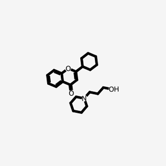 O=c1cc(C2CCCCC2)oc2ccccc12.OCCCN1CCCCC1